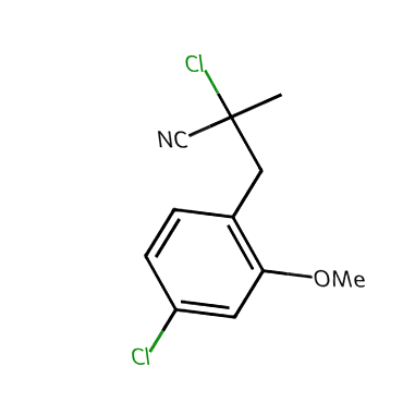 COc1cc(Cl)ccc1CC(C)(Cl)C#N